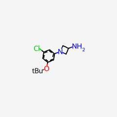 CC(C)(C)Oc1cc(Cl)cc(N2CC(N)C2)c1